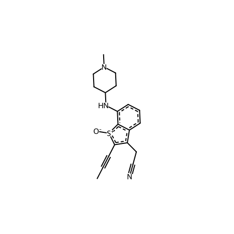 CC#Cc1c(CC#N)c2cccc(NC3CCN(C)CC3)c2[s+]1[O-]